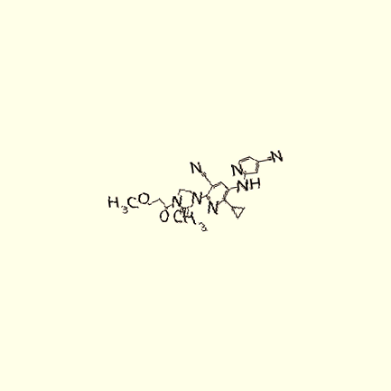 COCCC(=O)N1CCN(c2nc(C3CC3)c(Nc3cc(C#N)ccn3)cc2C#N)C[C@H]1C